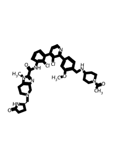 COc1cc(-c2nccc(-c3cccc(NC(=O)c4nc5c(n4C)CCN(C[C@@H]4CCC(=O)N4)C5)c3Cl)c2Cl)ccc1CNC1CCN(C(C)=O)CC1